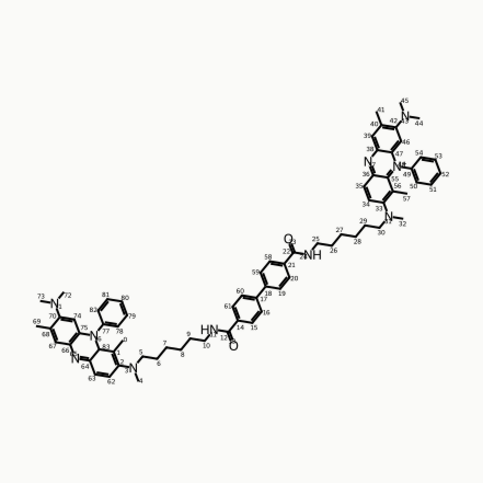 CC1=C(N(C)CCCCCCNC(=O)c2ccc(-c3ccc(C(=O)NCCCCCCN(C)c4ccc5nc6cc(C)c(N(C)C)cc6[n+](-c6ccccc6)c5c4C)cc3)cc2)C=CC2=Nc3cc(C)c(N(C)C)cc3N(c3ccccc3)C21